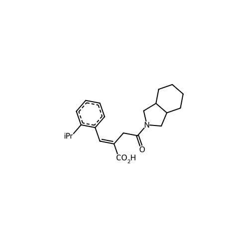 CC(C)c1ccccc1/C=C(\CC(=O)N1CC2CCCCC2C1)C(=O)O